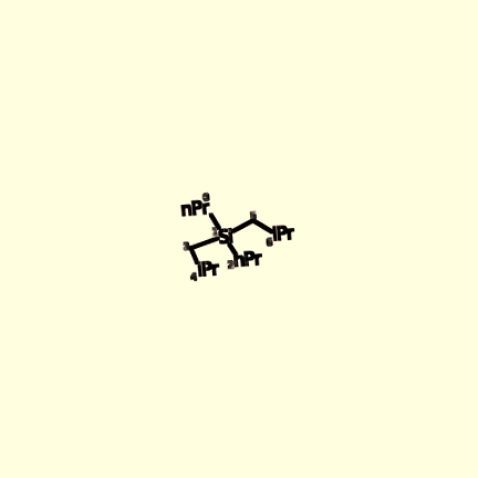 CCC[Si](CCC)(CC(C)C)CC(C)C